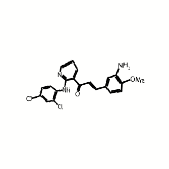 COc1ccc(C=CC(=O)c2cccnc2Nc2ccc(Cl)cc2Cl)cc1N